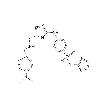 CN(C)c1ccc(CNCc2csc(Nc3ccc(S(=O)(=O)Nc4nccs4)cc3)n2)cc1